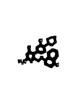 Cc1cc(=O)n(-c2ccc(N3CCOCC3)c(Cl)c2)c(COc2ccc(Cl)c3ccccc23)n1